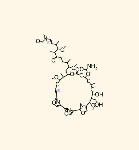 COC(CC1OC(=O)CC(OC(N)=O)CC(C)CC(O)C(CO)C(OC)c2coc(n2)-c2coc(n2)-c2coc(n2)/C=C/CC(OC)C1C)C(C)CCC(=O)C(C)C(OC)C(C)/C=C/N(C)C=O